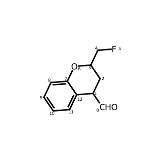 O=CC1CC(CF)Oc2ccccc21